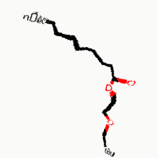 CCCCCCCCCCCCCCCCCC(=O)OCCOCC(C)(C)C